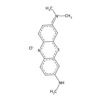 CNc1ccc2nc3ccc(=[N+](C)C)cc-3sc2c1.[Cl-]